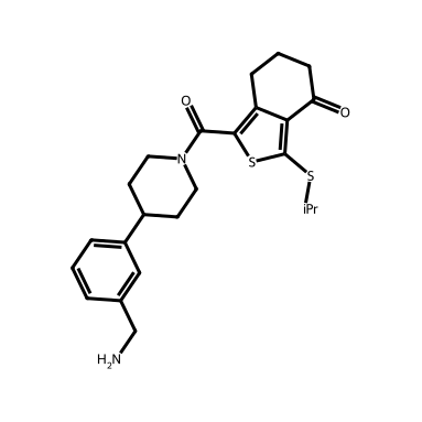 CC(C)Sc1sc(C(=O)N2CCC(c3cccc(CN)c3)CC2)c2c1C(=O)CCC2